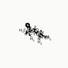 CCOC(=O)[C@@H](C)NP(=S)(OC[C@@]1(F)O[C@@H](n2cnc3c(NC)nc(N)nc32)[C@](C)(F)[C@@H]1O)Oc1ccccc1